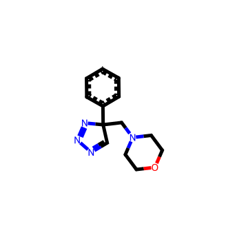 [c]1ccc(C2(CN3CCOCC3)C=NN=N2)cc1